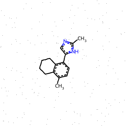 Cc1ncc(-c2ccc(C)c3c2CCCC3)[nH]1